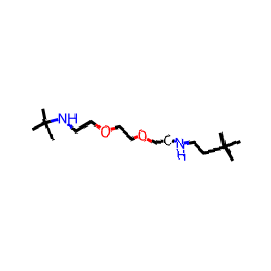 CC(C)(C)CCNCCOCCOCCNC(C)(C)C